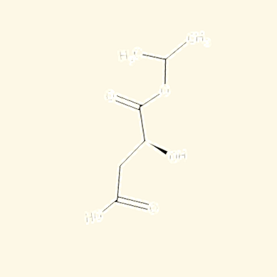 CC(C)OC(=O)[C@@H](O)CC(=O)O